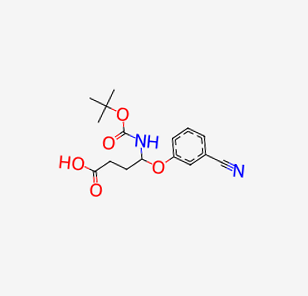 CC(C)(C)OC(=O)NC(CCC(=O)O)Oc1cccc(C#N)c1